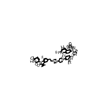 CCOc1cc(N2CCC(N3CCN(CCc4cc(F)c5c(c4)C4(CC4)C(=O)N5C4CCC(=O)NC4=O)CC3)CC2)c(CC)cc1Nc1ncc(Br)c(Nc2ccc3nc(CC)ccc3c2P(C)(C)=O)n1